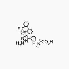 Nc1nc(O[C@@H](c2ccccc2-c2ccccc2)C(F)(F)F)nc(-c2ccc(CC(N)C(=O)O)cc2)n1